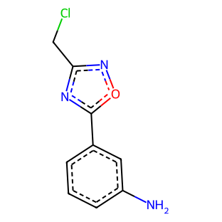 Nc1cccc(-c2nc(CCl)no2)c1